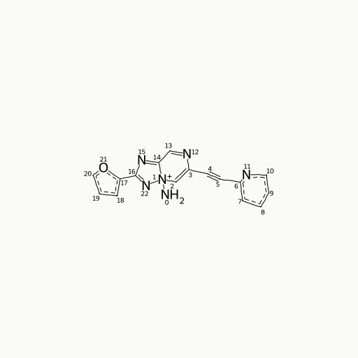 N[N+]12C=C(C#Cc3ccccn3)N=CC1=NC(c1ccco1)=N2